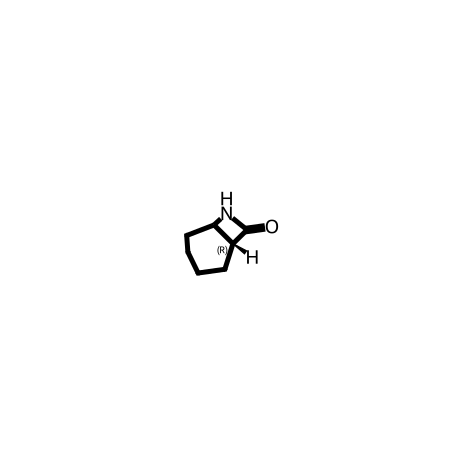 O=C1NC2CCCC[C@@H]12